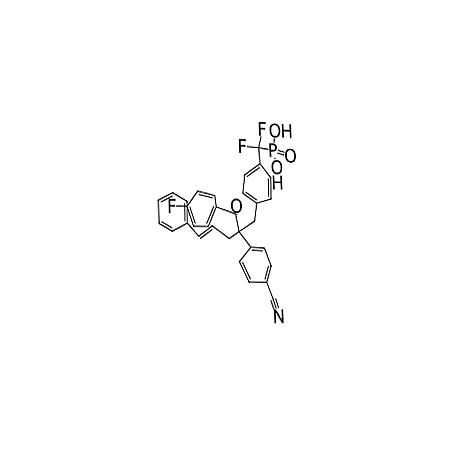 N#Cc1ccc(C(C/C=C/c2ccccc2)(Cc2ccc(C(F)(F)P(=O)(O)O)cc2)C(=O)c2ccc(F)cc2)cc1